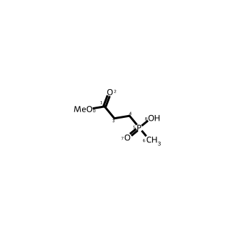 COC(=O)CCP(C)(=O)O